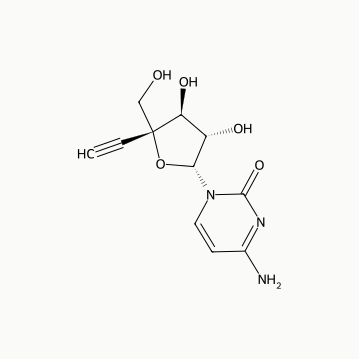 C#C[C@]1(CO)O[C@@H](n2ccc(N)nc2=O)[C@@H](O)[C@@H]1O